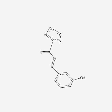 O=C(N=Nc1cccc(O)c1)c1nccs1